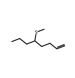 [CH2]CCC(CCC=C)SC